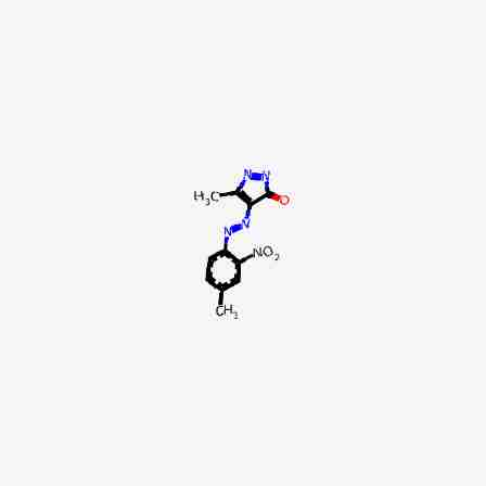 CC1=C(N=Nc2ccc(C)cc2[N+](=O)[O-])C(=O)N=N1